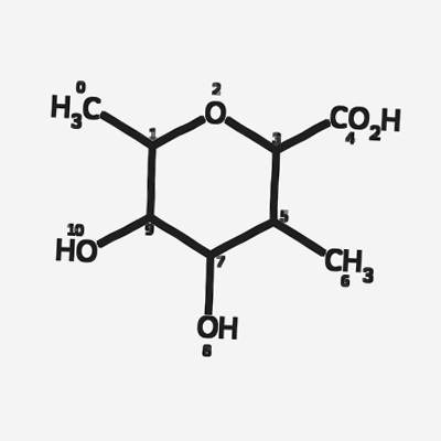 CC1OC(C(=O)O)C(C)C(O)C1O